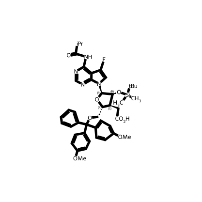 COc1ccc(C(OC[C@@H]2O[C@@H](n3cc(F)c4c(NC(=O)C(C)C)ncnc43)[C@H](O[Si](C)(C)C(C)(C)C)[C@H]2CC(=O)O)(c2ccccc2)c2ccc(OC)cc2)cc1